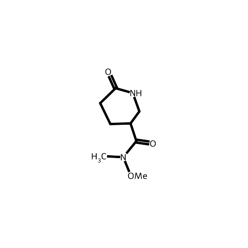 CON(C)C(=O)C1CCC(=O)NC1